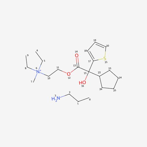 CCCN.CC[N+](C)(CC)CCOC(=O)C(O)(c1cccs1)C1CCCC1